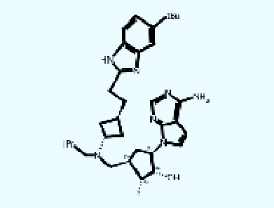 CC(C)CN(C[C@H]1C[C@@H](n2ccc3c(N)ncnc32)[C@H](O)[C@@H]1C)[C@H]1C[C@H](CCc2nc3cc(C(C)(C)C)ccc3[nH]2)C1